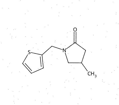 CC1CC(=O)N(Cc2cccs2)C1